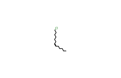 CCCCC/C=C\CCCCCCCl